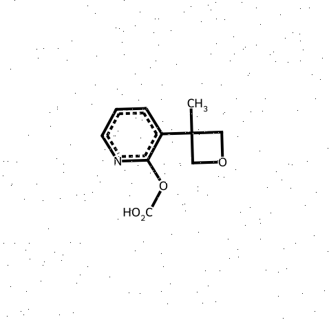 CC1(c2cccnc2OC(=O)O)COC1